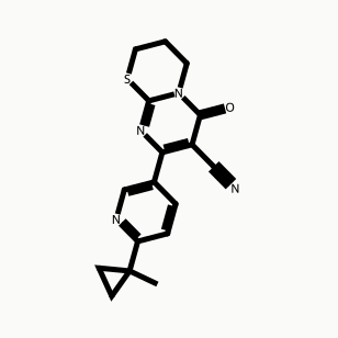 CC1(c2ccc(-c3nc4n(c(=O)c3C#N)CCCS4)cn2)CC1